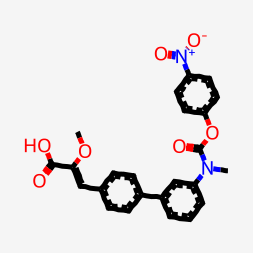 COC(=Cc1ccc(-c2cccc(N(C)C(=O)Oc3ccc([N+](=O)[O-])cc3)c2)cc1)C(=O)O